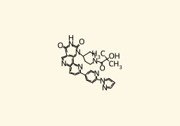 CC(C)(O)C(=O)N1CCC(n2c(=O)[nH]c(=O)c3cnc4ccc(-c5ccc(-n6cccn6)nc5)nc4c32)CC1